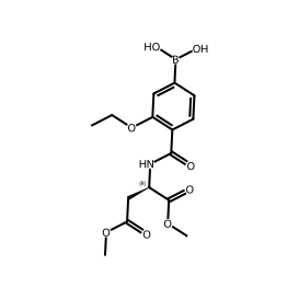 CCOc1cc(B(O)O)ccc1C(=O)N[C@H](CC(=O)OC)C(=O)OC